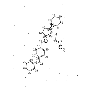 COC=CC[C@H]1[C@H](N2CCCCC2)CC[C@H]1OCc1ccc(Cc2ccccc2)cc1